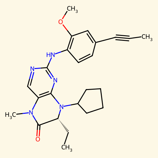 CC#Cc1ccc(Nc2ncc3c(n2)N(C2CCCC2)[C@H](CC)C(=O)N3C)c(OC)c1